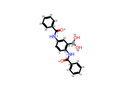 O=C(Nc1ccc(NC(=O)c2ccccc2)c(B(O)O)c1)c1ccccc1